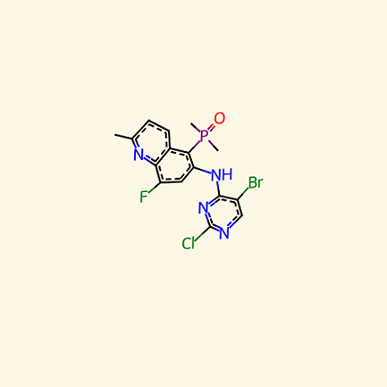 Cc1ccc2c(P(C)(C)=O)c(Nc3nc(Cl)ncc3Br)cc(F)c2n1